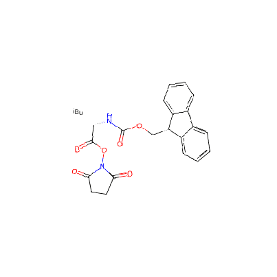 CC[C@H](C)[C@H](NC(=O)OCC1c2ccccc2-c2ccccc21)C(=O)ON1C(=O)CCC1=O